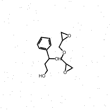 C(OCC1CO1)C1CO1.OCCC(O)c1ccccc1